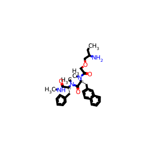 CCC(N)COCC(=O)N(C)[C@H](Cc1ccc2ccccc2c1)C(=O)N(C)[C@H](Cc1ccccc1)C(=O)NC